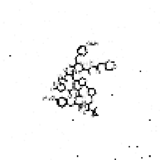 COc1ccc(CC(NC(=O)C(C)NC(=O)CN2CCOCC2)C(=O)NC(CC2CC=C(C3CCC(CC(NC(=O)C(Cc4ccc(OC)cc4)NC(=O)C(C)NC(=O)C4CNC(=O)C4)C(=O)C4(C)CO4)C3)C2)C(=O)C2(C)CO2)cc1